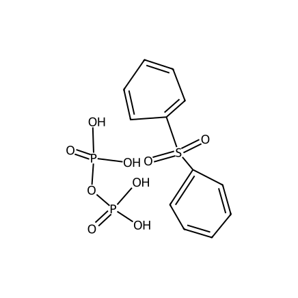 O=P(O)(O)OP(=O)(O)O.O=S(=O)(c1ccccc1)c1ccccc1